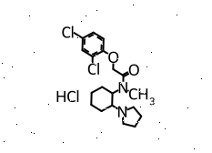 CN(C(=O)COc1ccc(Cl)cc1Cl)C1CCCCC1N1CCCC1.Cl